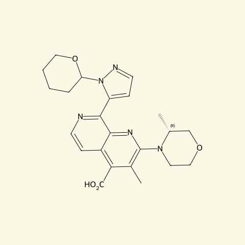 Cc1c(N2CCOC[C@H]2C)nc2c(-c3ccnn3C3CCCCO3)nccc2c1C(=O)O